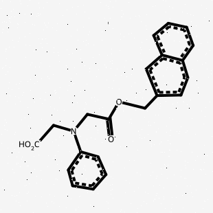 O=C(O)CN(CC(=O)OCc1ccc2ccccc2c1)c1ccccc1